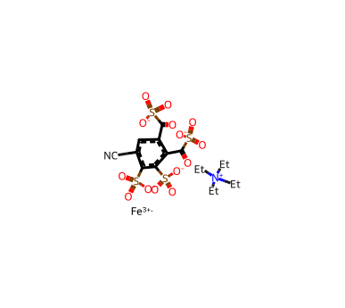 CC[N+](CC)(CC)CC.N#Cc1cc(C(=O)S(=O)(=O)[O-])c(C(=O)S(=O)(=O)[O-])c(S(=O)(=O)[O-])c1S(=O)(=O)[O-].[Fe+3]